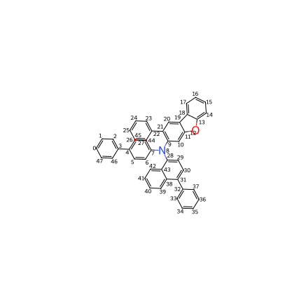 c1ccc(-c2ccc(N(c3cc4oc5ccccc5c4cc3-c3ccccc3)c3ccc(-c4ccccc4)c4ccccc34)cc2)cc1